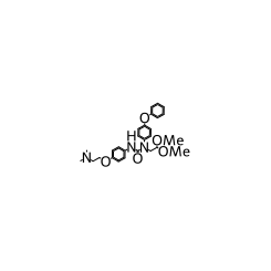 COC(CN(C(=O)Nc1ccc(OCCN(C)C)cc1)c1ccc(Oc2ccccc2)cc1)OC